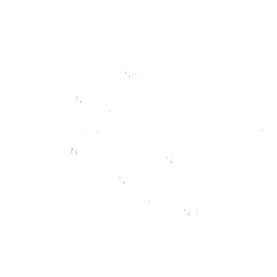 NCC(=O)N(CC(=O)N(CC(=O)N(CC(=O)N(CC(N)=O)Cc1ccc(C(F)(F)F)cc1)Cc1ccccc1)Cc1ccccc1)C1CCCC1